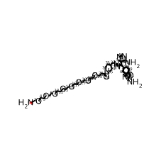 NCCOCCOCCOCCOCCOCCOCCOCCOCCC(=O)N1CCC(Cn2nc(-c3ccc4oc(N)nc4c3)c3c(N)ncnc32)CC1